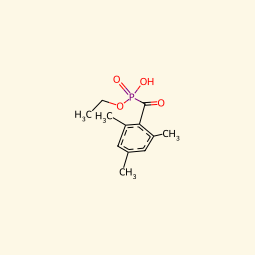 CCOP(=O)(O)C(=O)c1c(C)cc(C)cc1C